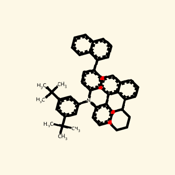 CC(C)(C)c1cc(N(c2ccc(-c3cccc4ccccc34)cc2)c2ccccc2-c2cccc3cccc(C4CCCCC4)c23)cc(C(C)(C)C)c1